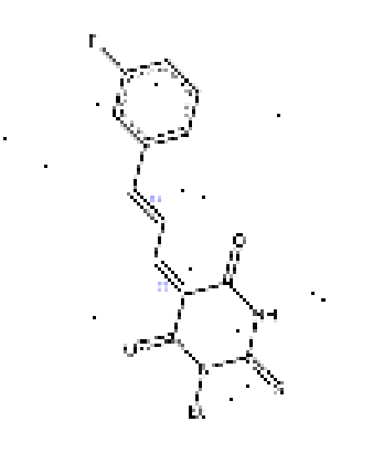 CCN1C(=O)/C(=C/C=C/c2cccc(F)c2)C(=O)NC1=S